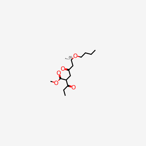 CCCCO[C@@H](C)CC(=O)CC(C(=O)CC)C(=O)OC